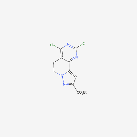 CCOC(=O)c1cc2n(n1)CCc1c(Cl)nc(Cl)nc1-2